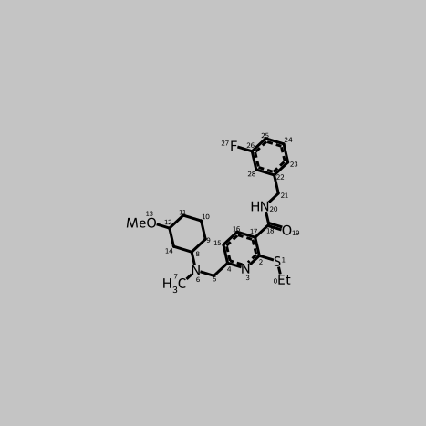 CCSc1nc(CN(C)C2CCCC(OC)C2)ccc1C(=O)NCc1cccc(F)c1